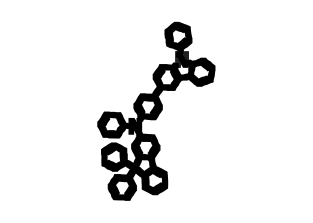 C1=CCC(N(c2ccc(C3C=CC4=C(C3)C3C=CC=CC3N4c3ccccc3)cc2)c2ccc3c(c2)C(c2ccccc2)(c2ccccc2)c2ccccc2-3)C=C1